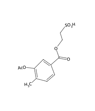 CC(=O)Oc1cc(C(=O)OCCS(=O)(=O)O)ccc1C